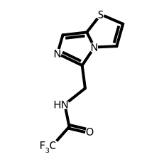 O=C(NCc1ncc2sccn12)C(F)(F)F